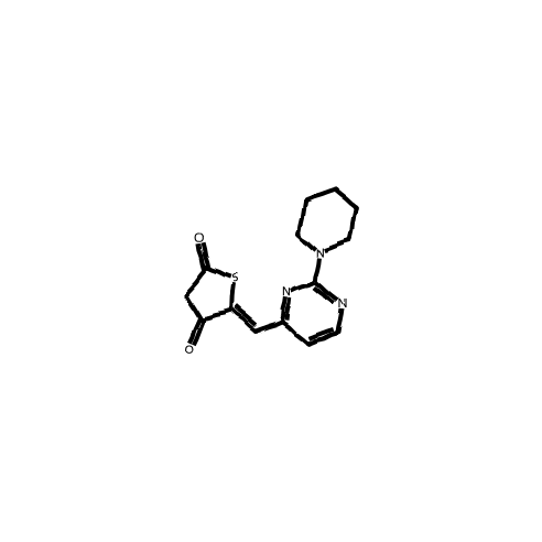 O=C1CC(=O)C(=Cc2ccnc(N3CCCCC3)n2)S1